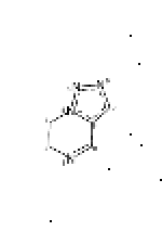 C1=NCCn2nncc21